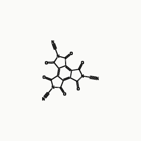 N#Cn1c(=O)c2c3c(=O)n(C#N)c(=O)c3c3c(=O)n(C#N)c(=O)c3c2c1=O